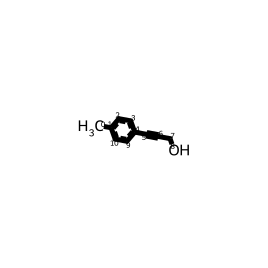 Cc1ccc(C#CCO)cc1